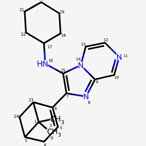 CC1(C)C2CC=C(c3nc4cnccn4c3NC3CCCCC3)C1C2